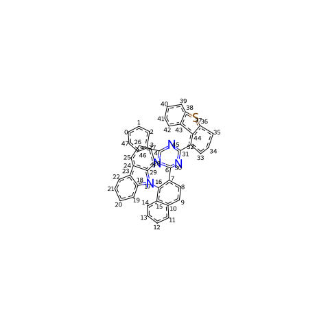 c1ccc(-c2nc(-c3ccc4ccccc4c3-n3c4ccccc4c4ccccc43)nc(-c3cccc4sc5ccccc5c34)n2)cc1